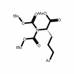 COC(=O)[C@H](CCCC(C)=O)N(C(=O)OC(C)(C)C)C(=O)OC(C)(C)C